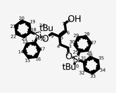 CC(C)(C)[Si](OCC/C(=C/CO)CO[Si](c1ccccc1)(c1ccccc1)C(C)(C)C)(c1ccccc1)c1ccccc1